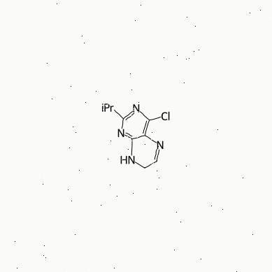 CC(C)c1nc(Cl)c2c(n1)NCC=N2